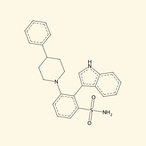 NS(=O)(=O)c1cccc(N2CCC(c3ccccc3)CC2)c1-c1c[nH]c2ccccc12